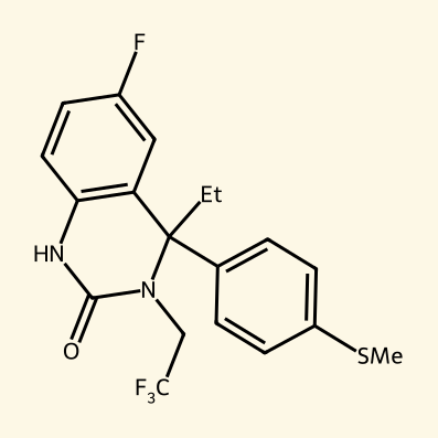 CCC1(c2ccc(SC)cc2)c2cc(F)ccc2NC(=O)N1CC(F)(F)F